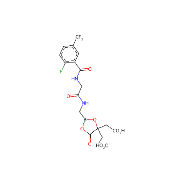 O=C(O)CC1(CC(=O)O)OB(CNC(=O)CNC(=O)c2cc(C(F)(F)F)ccc2F)OC1=O